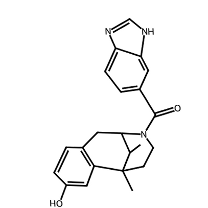 CC1C2Cc3ccc(O)cc3C1(C)CCN2C(=O)c1ccc2nc[nH]c2c1